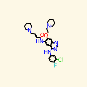 O=C(C=CCN1CCCCC1)Nc1cc2c(Nc3ccc(F)c(Cl)c3)ncnc2cc1OCCN1CCCCC1